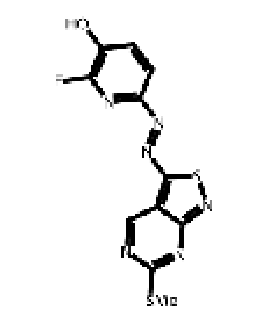 CSc1ncc2c(/N=N/c3ccc(O)c(F)n3)snc2n1